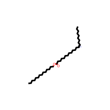 CCCCCCCC/C=C\CCCCCCCCCCCC(=O)OCCCCCCCCCCCCCC